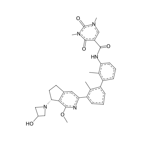 COc1nc(-c2cccc(-c3cccc(NC(=O)c4cn(C)c(=O)n(C)c4=O)c3C)c2C)cc2c1[C@H](N1CC(O)C1)CC2